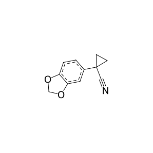 N#CC1(c2ccc3c(c2)OCO3)CC1